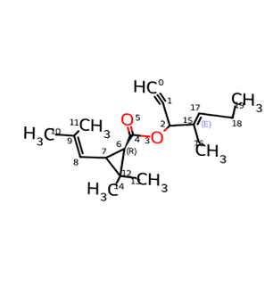 C#CC(OC(=O)[C@@H]1C(C=C(C)C)C1(C)C)/C(C)=C/CC